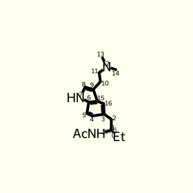 CC[C@H](Cc1ccc2[nH]cc(CCN(C)C)c2c1)NC(C)=O